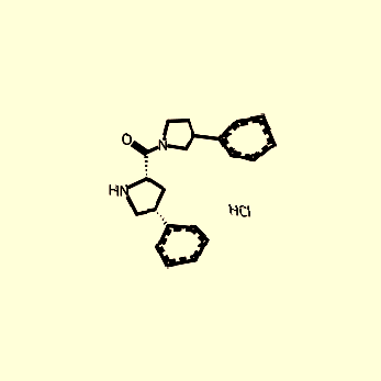 Cl.O=C([C@@H]1C[C@H](c2ccccc2)CN1)N1CCC(c2ccccc2)C1